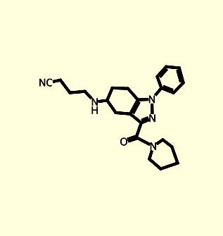 N#CCCCNC1CCc2c(c(C(=O)N3CCCCC3)nn2-c2ccccc2)C1